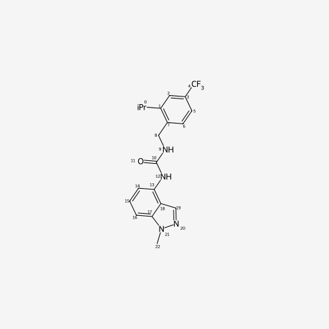 CC(C)c1cc(C(F)(F)F)ccc1CNC(=O)Nc1cccc2c1cnn2C